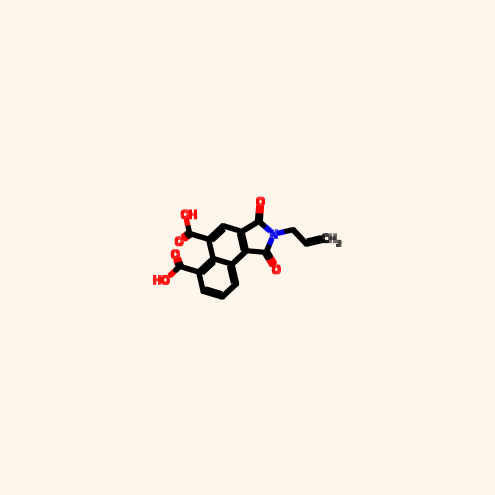 C=CCN1C(=O)c2cc(C(=O)O)c3c(C(=O)O)cccc3c2C1=O